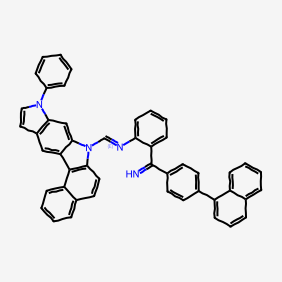 N=C(c1ccc(-c2cccc3ccccc23)cc1)c1ccccc1/N=C/n1c2cc3c(ccn3-c3ccccc3)cc2c2c3ccccc3ccc21